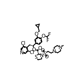 CN1CCN(CCS(=O)(=O)N2CCS[C@H]2C(=O)O[C@@H](Cc2c(Cl)cncc2Cl)c2ccc(OC(F)F)c(OCC3CC3)c2)CC1